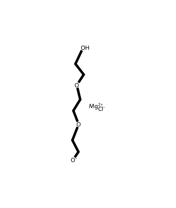 [Cl-].[Mg+2].[O-]CCOCCOCCO